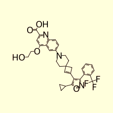 O=C(O)c1cc(OCCO)c2cc(N3CCC4(C=C(c5c(-c6ccccc6C(F)(F)F)noc5C5CC5)C4)CC3)ccc2n1